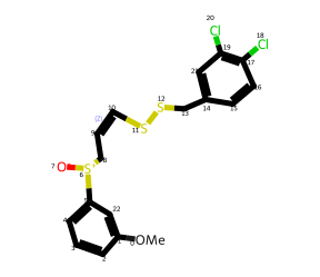 COc1cccc([S+]([O-])C/C=C\SSCc2ccc(Cl)c(Cl)c2)c1